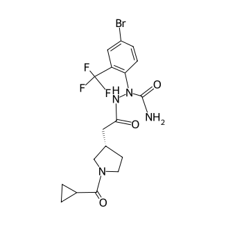 NC(=O)N(NC(=O)C[C@@H]1CCN(C(=O)C2CC2)C1)c1ccc(Br)cc1C(F)(F)F